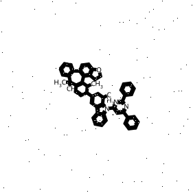 CC1CC(C2C=CC3=C(c4c(ccc5c4CCO5)-c4ccccc4C3(C)C)C2C)=Cc2c1n(-c1cc(-c3ccccc3)nc(-c3ccccc3)n1)c1ccccc21